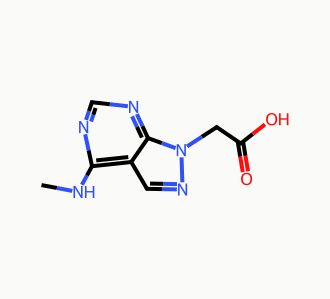 CNc1ncnc2c1cnn2CC(=O)O